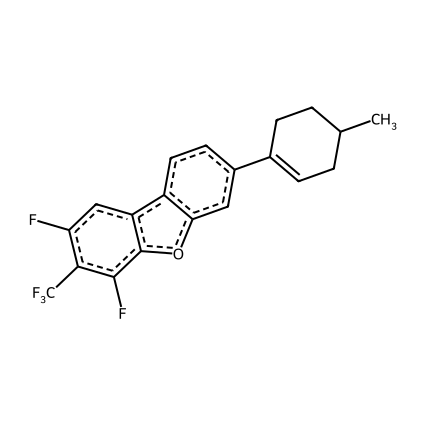 CC1CC=C(c2ccc3c(c2)oc2c(F)c(C(F)(F)F)c(F)cc23)CC1